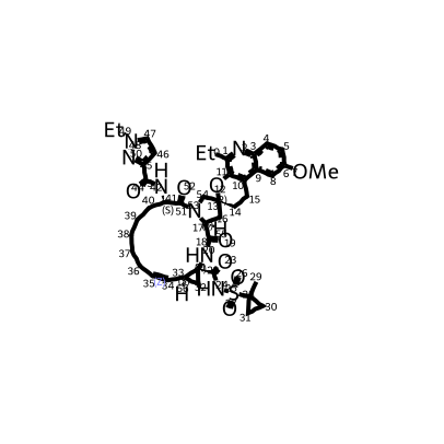 CCc1nc2ccc(OC)cc2c2c1O[C@]1(CC2)C[C@H]2C(=O)N[C@]3(C(=O)NS(=O)(=O)C4(C)CC4)C[C@H]3/C=C\CCCCC[C@H](NC(=O)c3ccn(CC)n3)C(=O)N2C1